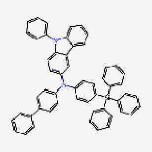 c1ccc(-c2ccc(N(c3ccc([Si](c4ccccc4)(c4ccccc4)c4ccccc4)cc3)c3ccc4c(c3)c3ccccc3n4-c3ccccc3)cc2)cc1